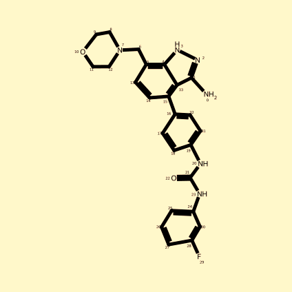 Nc1n[nH]c2c(CN3CCOCC3)ccc(-c3ccc(NC(=O)Nc4cccc(F)c4)cc3)c12